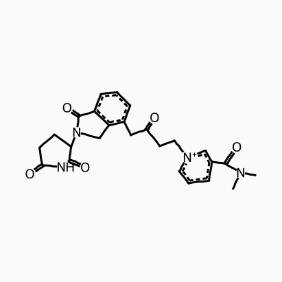 CN(C)C(=O)c1ccc[n+](CCC(=O)Cc2cccc3c2CN(C2CCC(=O)NC2=O)C3=O)c1